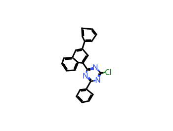 Clc1nc(-c2ccccc2)nc(-c2cc(-c3ccccc3)cc3ccccc23)n1